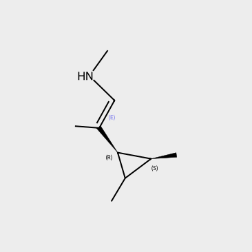 CN/C=C(\C)[C@@H]1C(C)[C@@H]1C